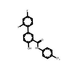 O=C(Nc1ccc(C(F)(F)F)cc1)c1cc(-c2ccc(F)cc2F)ccc1O